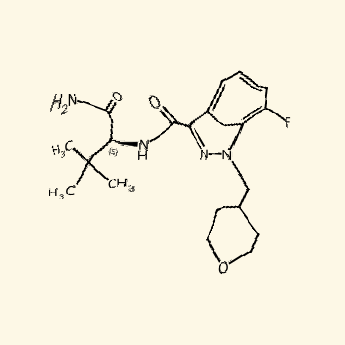 CC(C)(C)[C@H](NC(=O)c1nn(CC2CCOCC2)c2c(F)cccc12)C(N)=O